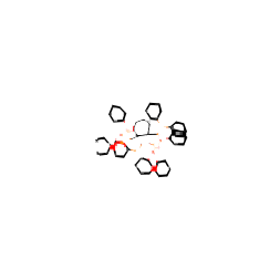 O=P(C[C@@]1(CP(c2ccccc2)c2ccccc2)CCCC[C@@]1(CP(c1ccccc1)c1ccccc1)CP(=O)(Oc1ccccc1)Oc1ccccc1)(Oc1ccccc1)Oc1ccccc1